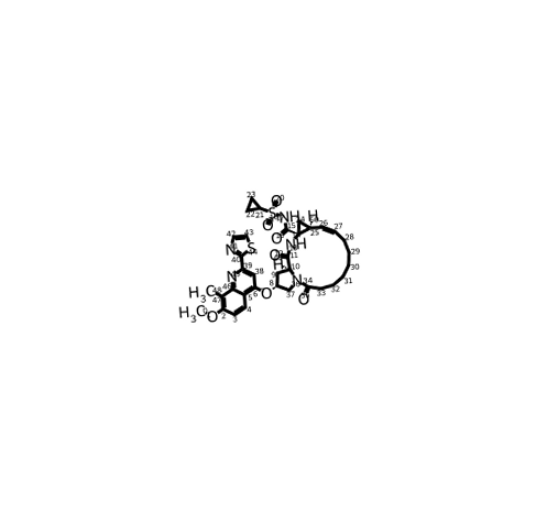 COc1ccc2c(O[C@@H]3C[C@H]4C(=O)N[C@]5(C(=O)NS(=O)(=O)C6CC6)C[C@H]5/C=C\CCCCCCC(=O)N4C3)cc(-c3nccs3)nc2c1C